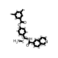 Cc1cc(C)cc(C(=O)Oc2ccc([C@@H](CN)NC(=O)c3ccc4cnccc4c3)cc2)c1